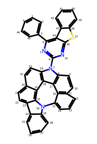 c1ccc(-c2nc(-n3c4ccc5cccc6c5c4c4c5c(ccc7c8ccccc8n6c75)ccc43)nc3sc4ccccc4c23)cc1